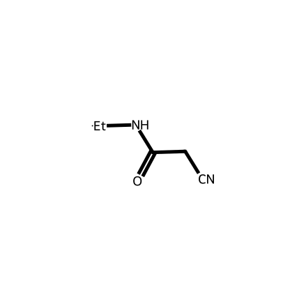 C[CH]NC(=O)CC#N